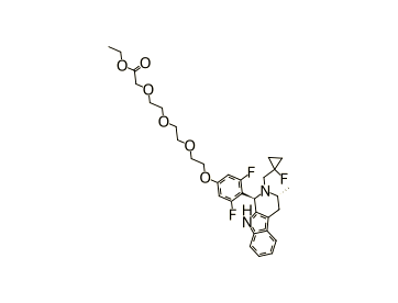 CCOC(=O)COCCOCCOCCOc1cc(F)c([C@@H]2c3[nH]c4ccccc4c3C[C@@H](C)N2CC2(F)CC2)c(F)c1